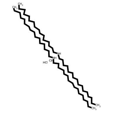 CCCCCCCCCCCCCCCCNCCCCCCCCCCCCCCCC.CCCCCCCCCCCCCCCCNCCCCCCCCCCCCCCCC.Cl.Cl